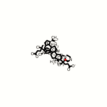 C=C(C)[C@@H]1CC[C@]2(CC(Cl)(CCC(=O)[O-])C3CN4CC[N+]3(Cl)CC4)CC[C@]3(C)[C@H](CC[C@@H]4[C@@]5(C)CCC(C(Cl)(CCC(=O)[O-])C6CN7CC[N+]6(Cl)CC7)C(C)(C)[C@@H]5CC[C@]43C)[C@@H]12